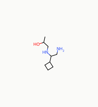 CC(O)CNC(CN)C1CCC1